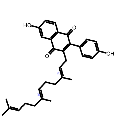 CC(C)=CCC/C(C)=C/CC/C(C)=C/CC1=C(c2ccc(O)cc2)C(=O)c2ccc(O)cc2C1=O